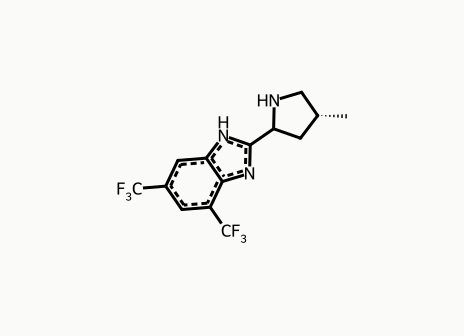 C[C@H]1CNC(c2nc3c(C(F)(F)F)cc(C(F)(F)F)cc3[nH]2)C1